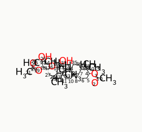 CC(=O)O[C@H]1CC[C@]23C[C@]24CC[C@]2(C)[C@@H]5[C@H](O[C@@H]([C@H](OC(C)=O)C(C)(C)O)C[C@H]5C)[C@H](O)[C@@]2(C)[C@@H]4CC[C@H]3C1(C)C